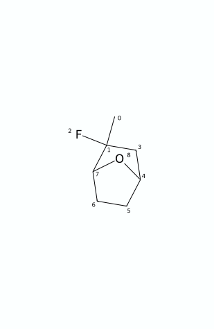 CC1(F)CC2CCC1O2